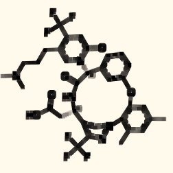 Cc1cc(C)c2c(c1)Oc1cccc(c1)[C@@H](n1cc(CCCN(C)C)c(C(F)(F)F)cc1=O)C(=O)N[C@@H](CC(=O)O)c1cn-2nc1C(F)(F)F